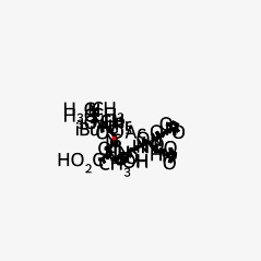 CC[C@H](C)[C@H](NC(=O)C(C)(C)N(C)C)C(=O)N(C)[C@H](C[C@@H](OC(C)=O)c1nc(C(=O)N[C@@H](Cc2ccc(O)c(NC(=O)CCCNC(=O)[C@H](CNC(=O)CCCN3C(=O)C=CC3=O)NC(=O)CCCN3C(=O)C=CC3=O)c2)CC(C)C(=O)O)cs1)C(C)C